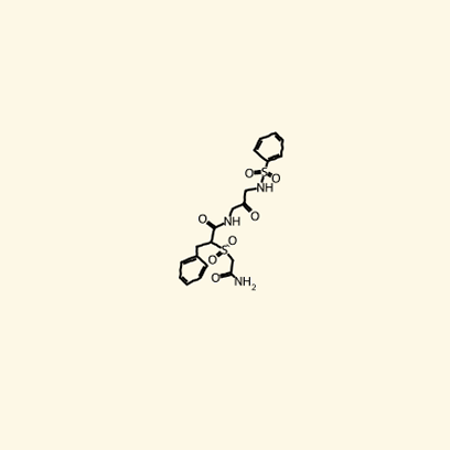 NC(=O)CS(=O)(=O)C(Cc1ccccc1)C(=O)NCC(=O)CNS(=O)(=O)c1ccccc1